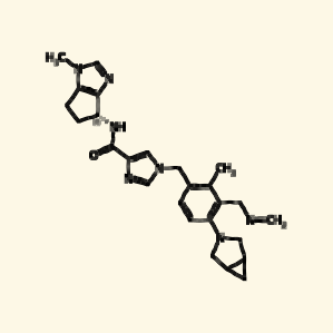 C=NCc1c(N2CC3CC3C2)ccc(Cn2cnc(C(=O)N[C@@H]3CCc4c3ncn4C)c2)c1C